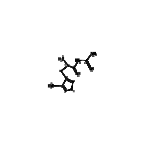 Cc1cscc1CN(C)C(=N)NC(=N)N